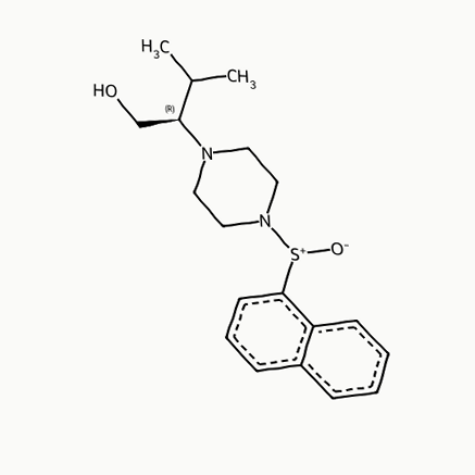 CC(C)[C@H](CO)N1CCN([S+]([O-])c2cccc3ccccc23)CC1